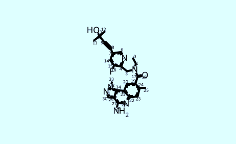 CCN(Cc1ncc(C#CC(C)(C)O)cc1F)C(=O)c1cc2c(cc1C)nc(N)c1cnn(C)c12